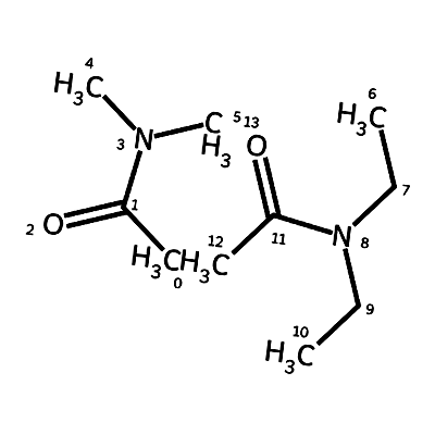 CC(=O)N(C)C.CCN(CC)C(C)=O